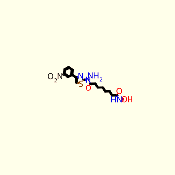 NN(C(=O)CCCCCCC(=O)NO)c1nc(-c2cccc([N+](=O)[O-])c2)cs1